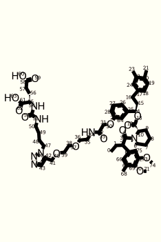 CCC(C(=O)N1CCCC[C@H]1C(=O)O[C@H](CCc1ccc(C)c(C)c1)c1cccc(OCC(=O)NCCOCCOCc2cnnn2CCCCNC(=O)N[C@@H](CCC(=O)O)C(=O)O)c1)c1cc(C)c(OC)c(OC)c1